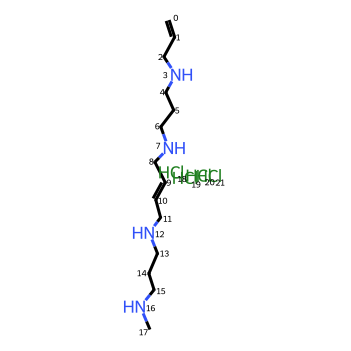 C=CCNCCCNCC=CCNCCCNC.Cl.Cl.Cl.Cl